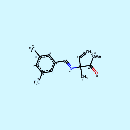 C=CC(C)(N=Cc1cc(C(F)(F)F)cc(C(F)(F)F)c1)C(=O)OC